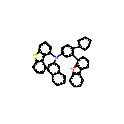 c1ccc(-c2ccc(N(c3ccc4ccccc4c3)c3cccc4sc5ccccc5c34)cc2-c2cccc3c2oc2ccccc23)cc1